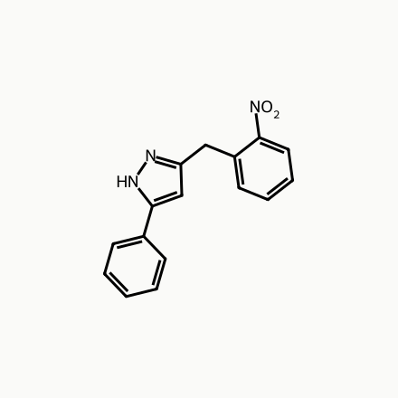 O=[N+]([O-])c1ccccc1Cc1cc(-c2ccccc2)[nH]n1